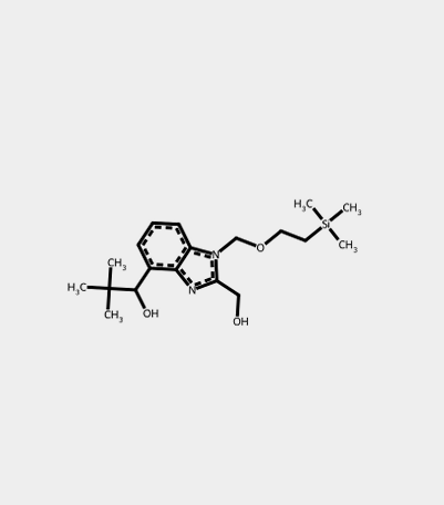 CC(C)(C)C(O)c1cccc2c1nc(CO)n2COCC[Si](C)(C)C